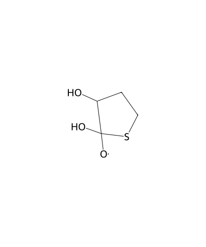 [O]C1(O)SCCC1O